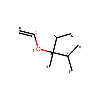 C=COC(C)(CC)C(C)C